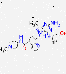 CCCC(CCO)Nc1nc(N)nc2c(C)nn(Cc3ccc(C(=O)NC4CCN(C)CC4)c4cccnc34)c12